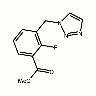 COC(=O)c1cccc(Cn2ccnn2)c1F